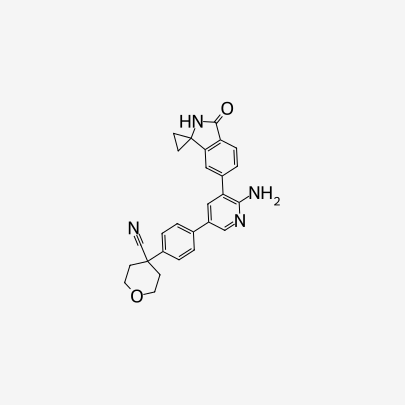 N#CC1(c2ccc(-c3cnc(N)c(-c4ccc5c(c4)C4(CC4)NC5=O)c3)cc2)CCOCC1